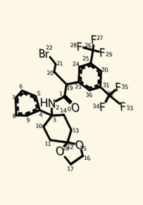 O=C(NC1(c2ccccc2)CCC2(CC1)OCCO2)C(CCBr)c1cc(C(F)(F)F)cc(C(F)(F)F)c1